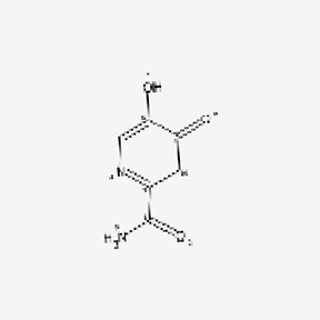 NC(=O)C1=NC=C(O)C(=O)C1